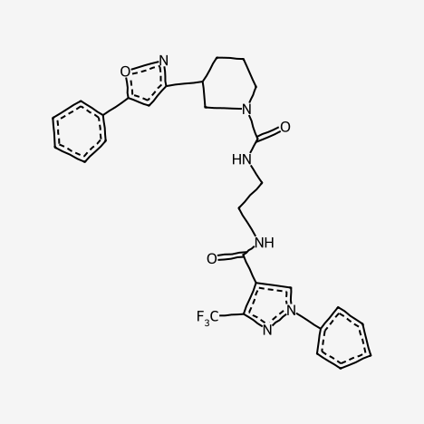 O=C(NCCNC(=O)N1CCCC(c2cc(-c3ccccc3)on2)C1)c1cn(-c2ccccc2)nc1C(F)(F)F